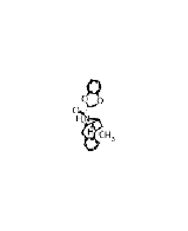 C[C@@]12CC3[C@H]1[C@@H](Cc1ccccc12)N3C(=O)[C@H]1COc2ccccc2O1